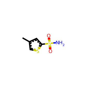 Cc1csc(S(N)(=O)=O)c1